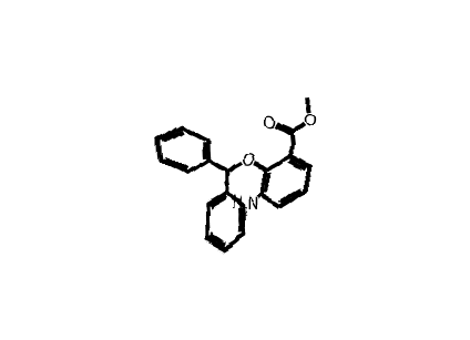 COC(=O)c1cccc(N)c1OC(c1ccccc1)c1ccccc1